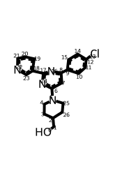 OCC1CCN(c2cc(-c3ccc(Cl)cc3)nc(-c3cccnc3)n2)CC1